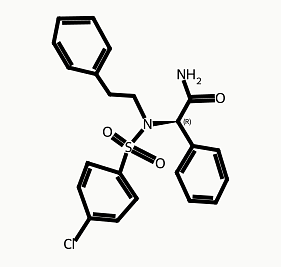 NC(=O)[C@@H](c1ccccc1)N(CCc1ccccc1)S(=O)(=O)c1ccc(Cl)cc1